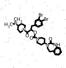 CN(C)C1CCN(C(=O)C(Cc2ccc(Br)c(Br)c2)OC(=O)N2CCC(N3CCc4ccccc4NC3=O)CC2)CC1